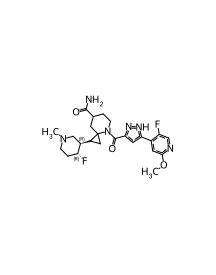 COc1cc(-c2cc(C(=O)N3CCC(C(N)=O)CC34CC4[C@@H]3CN(C)CC[C@H]3F)n[nH]2)c(F)cn1